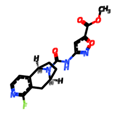 COC(=O)c1cc(NC(=O)N2[C@H]3CC[C@@H]2c2ccnc(F)c2C3)no1